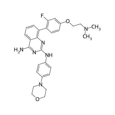 CN(C)CCOc1ccc(-c2cccc3c(N)nc(Nc4ccc(N5CCOCC5)cc4)nc23)c(F)c1